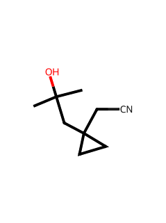 CC(C)(O)CC1(CC#N)CC1